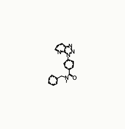 CN(Cc1ccccc1)C(=O)c1ccc(-n2nnc3cccnc32)cc1